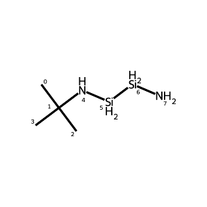 CC(C)(C)N[SiH2][SiH2]N